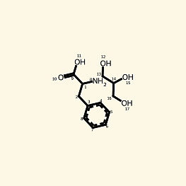 NC(Cc1ccccc1)C(=O)O.OCC(O)CO